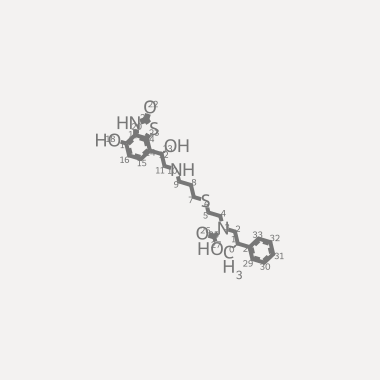 C[C@H](CN(CCSCCCNC[C@@H](O)c1ccc(O)c2[nH]c(=O)sc12)C(=O)O)c1ccccc1